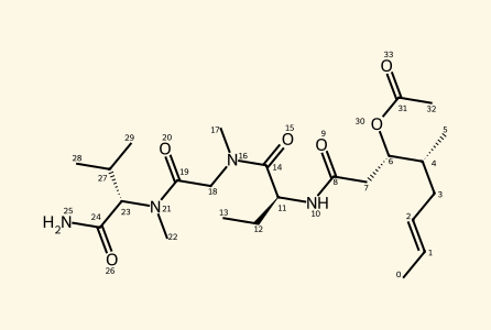 C/C=C/C[C@@H](C)[C@H](CC(=O)N[C@@H](CC)C(=O)N(C)CC(=O)N(C)[C@H](C(N)=O)C(C)C)OC(C)=O